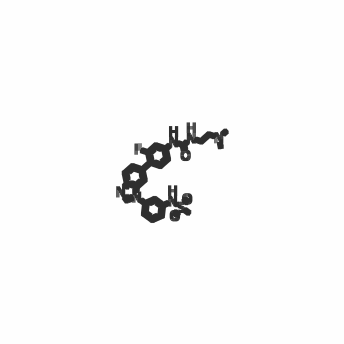 CN(C)CCNC(=O)Nc1ccc(-c2ccc3ncn(-c4cccc(NS(C)(=O)=O)c4)c3c2)c(F)c1